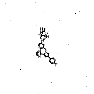 C=C1N[C@@H]2CN(c3ccc4c(c3)Cn3cc(-c5ccc(F)cc5)cc3-c3nccn3-4)C[C@@H]2O1